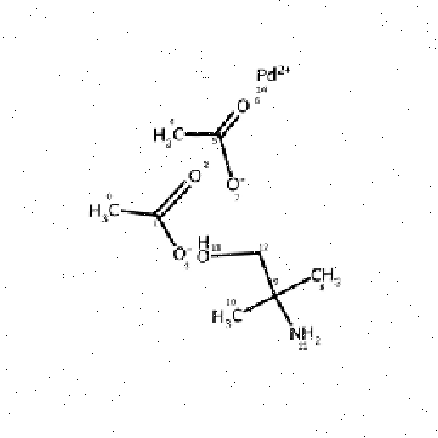 CC(=O)[O-].CC(=O)[O-].CC(C)(N)CO.[Pd+2]